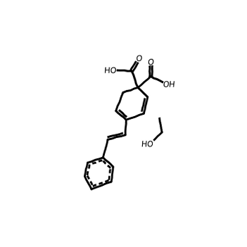 CCO.O=C(O)C1(C(=O)O)C=CC(/C=C/c2ccccc2)=CC1